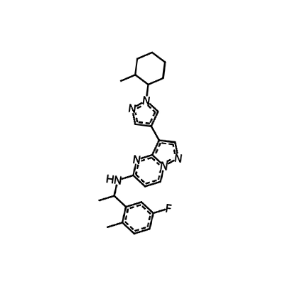 Cc1ccc(F)cc1C(C)Nc1ccn2ncc(-c3cnn(C4CCCCC4C)c3)c2n1